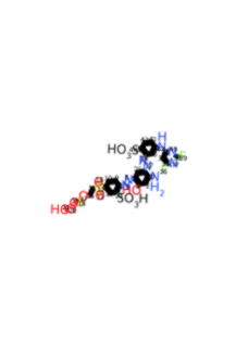 Nc1cc(O)c(/N=N/c2ccc(S(=O)(=O)CCOSOOO)cc2S(=O)(=O)O)cc1/N=N/c1cc(Nc2cc(F)nc(F)n2)ccc1S(=O)(=O)O